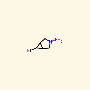 CCC1C2CN(P)CC12